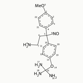 COc1ccc(C(CCN)(N=O)c2ccc(OC(N)(N)N)cc2)cc1